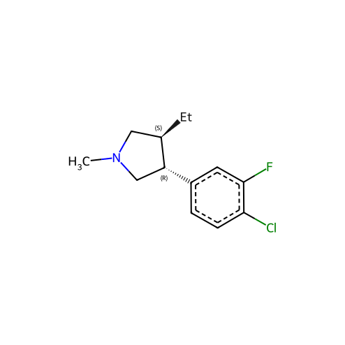 CC[C@@H]1CN(C)C[C@H]1c1ccc(Cl)c(F)c1